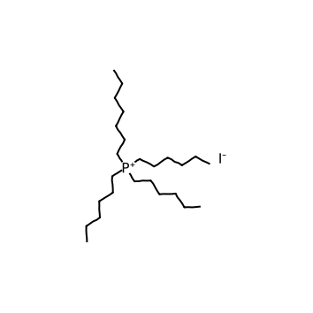 CCCCCCC[P+](CCCCCC)(CCCCCC)CCCCCC.[I-]